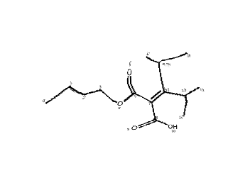 CCCCOC(=O)C(C(=O)O)=C(C(C)C)C(C)C